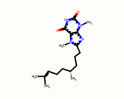 CC(C)=CCC[C@@H](C)CCCc1nc2c(c(=O)[nH]c(=O)n2C)n1C